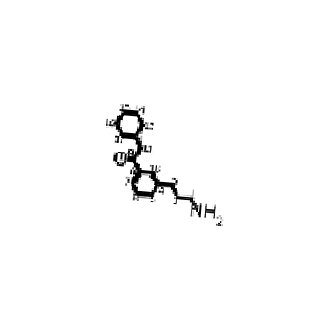 NCCCc1cccc(C(=O)CC2CCCCC2)c1